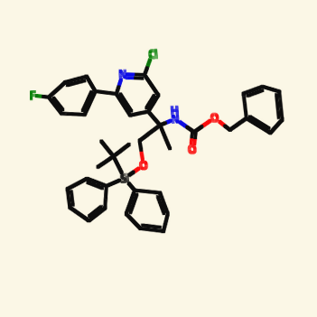 CC(CO[Si](c1ccccc1)(c1ccccc1)C(C)(C)C)(NC(=O)OCc1ccccc1)c1cc(Cl)nc(-c2ccc(F)cc2)c1